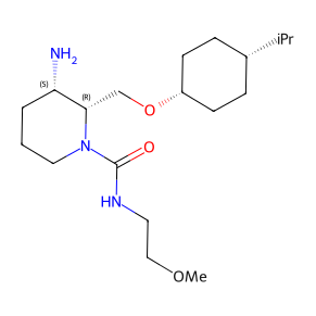 COCCNC(=O)N1CCC[C@H](N)[C@@H]1CO[C@H]1CC[C@@H](C(C)C)CC1